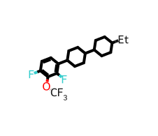 CCC1CCC(C2CCC(c3ccc(F)c(OC(F)(F)F)c3F)CC2)CC1